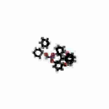 c1ccc([C@H]2CCCC[C@H]2OCP2Oc3cccc4c3C3(c5ccccc5O4)c4ccccc4Oc4cccc(c43)O2)cc1